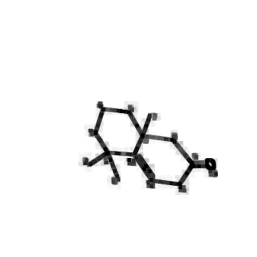 CC1(C)CCCC2(C)CC(=O)CC=C12